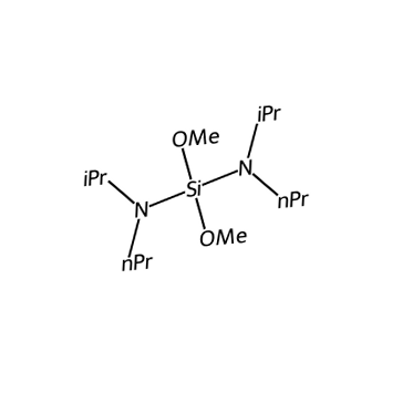 CCCN(C(C)C)[Si](OC)(OC)N(CCC)C(C)C